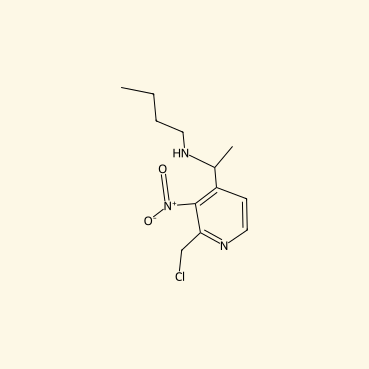 CCCCNC(C)c1ccnc(CCl)c1[N+](=O)[O-]